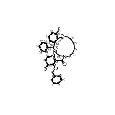 O=C1c2c(OCc3ccccc3)c(=O)ccn2N2CN1CCCCCCOc1c(F)cccc1[C@@H]2c1ccccc1